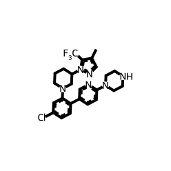 Cc1cnn(C2CCCN(c3cc(Cl)ccc3-c3ccc(N4CCNCC4)nc3)C2)c1C(F)(F)F